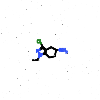 CCn1nc(Cl)c2c1CCC(N)C2